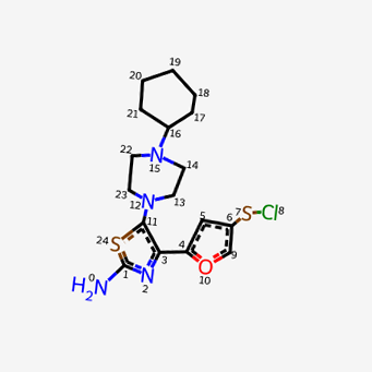 Nc1nc(-c2cc(SCl)co2)c(N2CCN(C3CCCCC3)CC2)s1